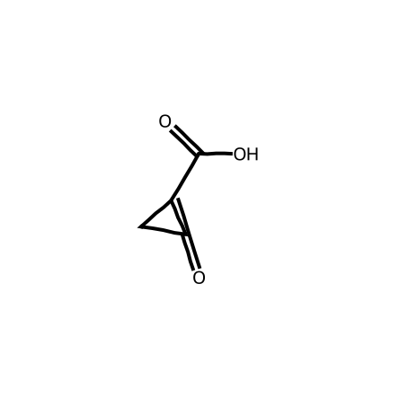 O=C(O)C1CC1=O